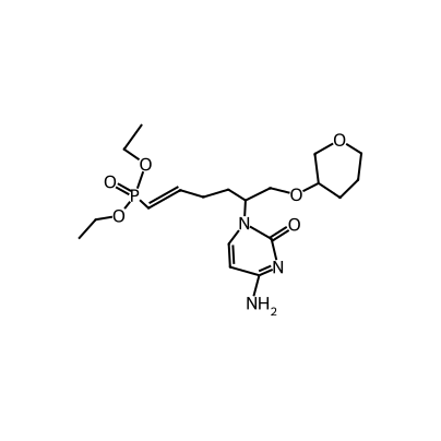 CCOP(=O)(C=CCCC(COC1CCCOC1)n1ccc(N)nc1=O)OCC